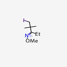 CC/C(=N\OC)C(C)(C)CI